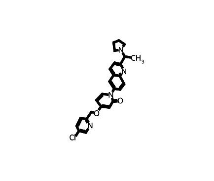 CC(c1ccc2cc(-n3ccc(OCc4ccc(Cl)cn4)cc3=O)ccc2n1)N1CCCC1